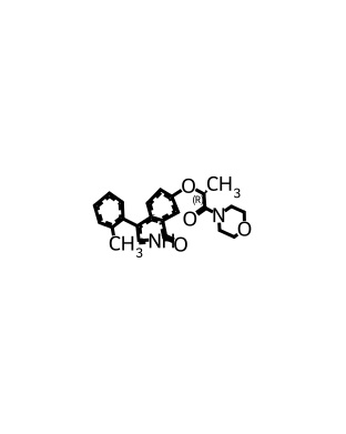 Cc1ccccc1-c1c[nH]c(=O)c2cc(O[C@H](C)C(=O)N3CCOCC3)ccc12